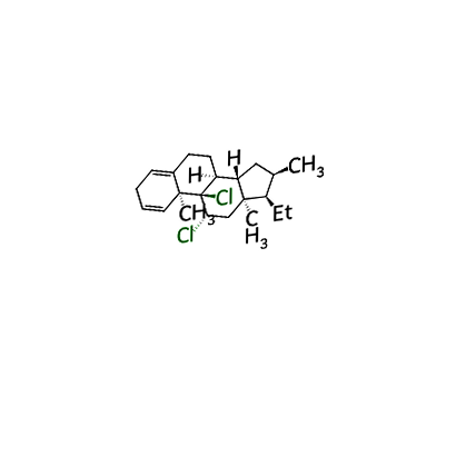 CC[C@@H]1[C@H](C)C[C@H]2[C@@H]3CCC4=CCC=C[C@]4(C)[C@@]3(Cl)[C@@H](Cl)C[C@]12C